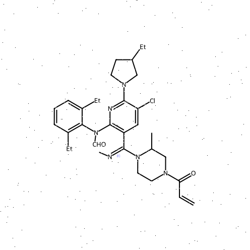 C=CC(=O)N1CCN(/C(=N/C)c2cc(Cl)c(N3CCC(CC)C3)nc2N(C=O)c2c(CC)cccc2CC)C(C)C1